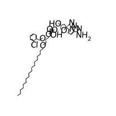 CCCCCCCCCCCCCCCCCCOC[C@H](COP(=O)(O)OC[C@H]1O[C@@](C#N)(c2ccc3c(N)ncnn23)C[C@@H]1O)OCc1ccccc1Cl